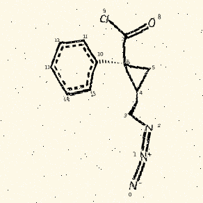 [N-]=[N+]=NC[C@@H]1C[C@@]1(C(=O)Cl)c1ccccc1